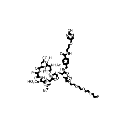 CCSSC[C@H](NC(=O)[C@H](CC(=O)O)NC(=O)C(NC(=O)[C@H](CCC(=O)O)NC(=O)[C@H](CC(=O)O)NC(C)=O)C(C)C)C(=O)NCC(=O)N[C@@H](Cc1cn(CCOCCOCCOCCF)nn1)C(=O)NCc1ccc(C(=O)NCCCOc2cnc(C#N)nc2)cc1